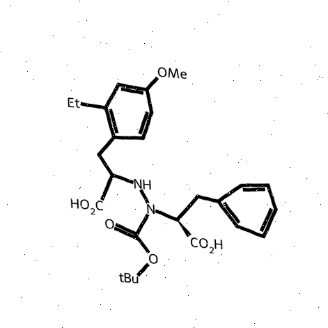 CCc1cc(OC)ccc1CC(NN(C(=O)OC(C)(C)C)[C@@H](Cc1ccccc1)C(=O)O)C(=O)O